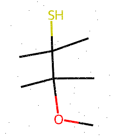 COC(C)(C)C(C)(C)S